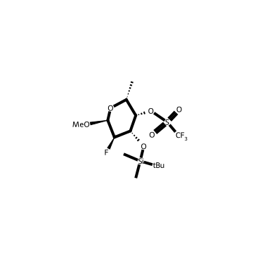 CO[C@H]1O[C@H](C)[C@H](OS(=O)(=O)C(F)(F)F)[C@H](O[Si](C)(C)C(C)(C)C)[C@H]1F